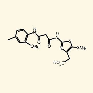 CSc1sc(NC(=O)CC(=O)Nc2ccc(C)cc2OCC(C)C)nc1CC(=O)O